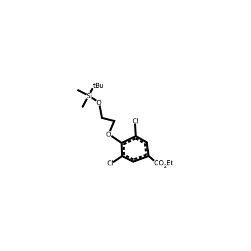 CCOC(=O)c1cc(Cl)c(OCCO[Si](C)(C)C(C)(C)C)c(Cl)c1